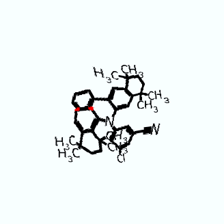 CC1(C)CCC(C)(C)c2cc(N(c3cc(Cl)cc(C#N)c3)c3cccc4c3C(C)(C)CCC4(C)C)c(-c3ccccc3)cc21